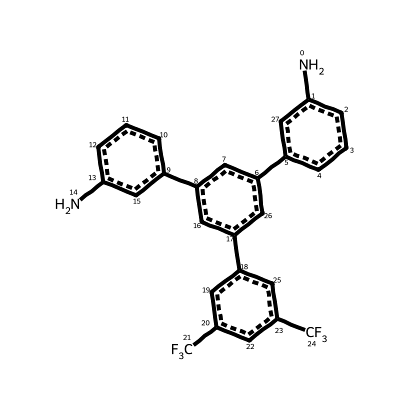 Nc1cccc(-c2cc(-c3cccc(N)c3)cc(-c3cc(C(F)(F)F)cc(C(F)(F)F)c3)c2)c1